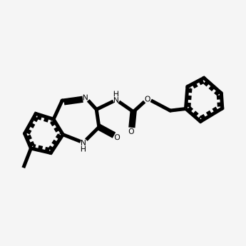 Cc1ccc2c(c1)NC(=O)C(NC(=O)OCc1ccccc1)N=C2